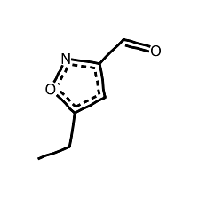 CCc1cc(C=O)no1